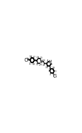 Clc1ccc(-c2cncc(CCN3CCC(c4ccc(Cl)cc4)CC3)c2)cc1